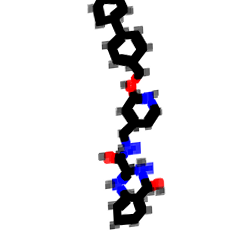 O=C(NCc1ccnc(OCc2ccc(-c3ccccc3)cc2)c1)c1nc2ccccc2c(=O)[nH]1